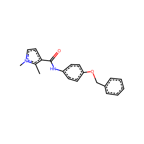 Cc1c(C(=O)Nc2ccc(OCc3ccccc3)cc2)ccn1C